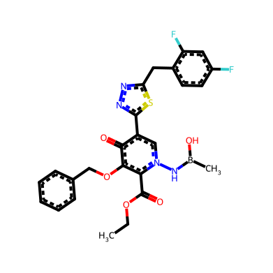 CCOC(=O)c1c(OCc2ccccc2)c(=O)c(-c2nnc(Cc3ccc(F)cc3F)s2)cn1NB(C)O